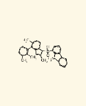 CC1=Cc2c(ccc(C)c2-c2cccc(C)c2C)[CH]1[Zr]([Cl])([Cl])[c]1cccc2c1[SiH2]c1ccccc1-2